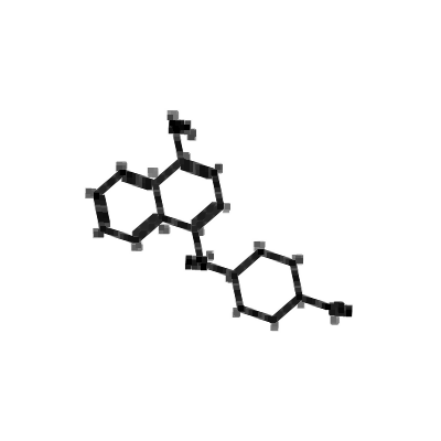 CC(C)(C)C1CCC(Nc2ccc(N)c3ccccc23)CC1